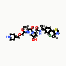 Cc1ncsc1-c1ccc([C@H](C)NC(=O)[C@@H]2C[C@@H](O)CN2C(=O)C(NC(=O)COCC2CCNCC2)C(C)(C)C)cc1Cl